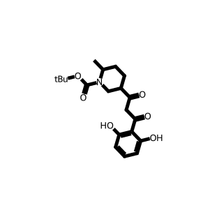 CC1CCC(C(=O)CC(=O)c2c(O)cccc2O)CN1C(=O)OC(C)(C)C